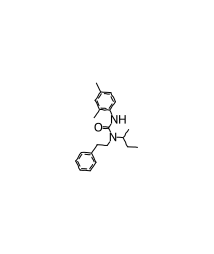 CCC(C)N(CCc1ccccc1)C(=O)Nc1ccc(C)cc1C